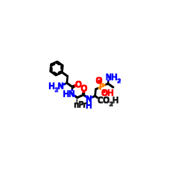 CCC[C@H](NC(=O)[C@@H](N)Cc1ccccc1)C(=O)NC(CP(=O)(O)C(C)N)C(=O)O